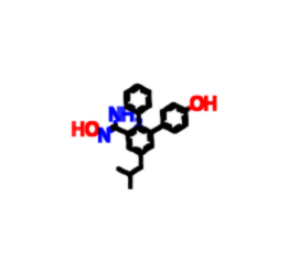 CC(C)Cc1cc(/C(N)=N/O)c(-c2ccccc2)c(-c2ccc(O)cc2)c1